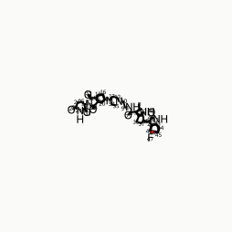 Cc1[nH]c2c(c1C(=O)NCCN1CCN(c3ccc4c(c3)C(=O)N(C3CCC(=O)NC3=O)C4=O)CC1)CC/C2=C1/C(=O)Nc2ccc(F)cc21